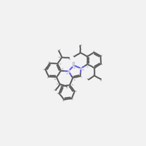 CC(C)c1cccc(C(C)C)c1N1C=C(c2ccccc2)N(c2c(C(C)C)cccc2C(C)C)N1